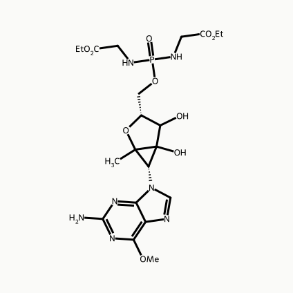 CCOC(=O)CNP(=O)(NCC(=O)OCC)OC[C@H]1OC2(C)[C@@H](n3cnc4c(OC)nc(N)nc43)C2(O)C1O